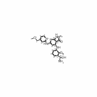 COCc1ccnc(Nc2cc(Nc3cccc(C(N)O)c3OC)c3c(=O)n(C)[nH]c3n2)c1